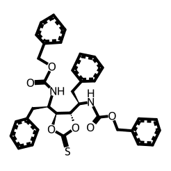 O=C(N[C@H](Cc1ccccc1)[C@@H]1OC(=S)O[C@H]1[C@@H](Cc1ccccc1)NC(=O)OCc1ccccc1)OCc1ccccc1